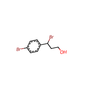 OCCC(Br)c1ccc(Br)cc1